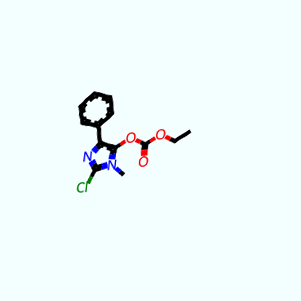 CCOC(=O)Oc1c(-c2ccccc2)nc(Cl)n1C